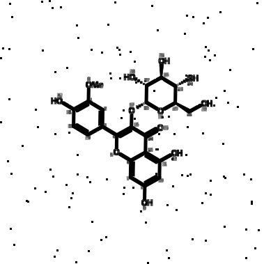 COc1cc(-c2oc3cc(O)cc(O)c3c(=O)c2O[C@H]2O[C@H](CO)[C@@H](O)[C@H](O)[C@H]2O)ccc1O